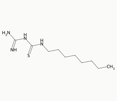 CCCCCCCCNC(=S)NC(=N)N